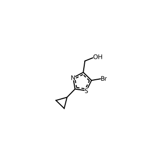 OCc1nc(C2CC2)sc1Br